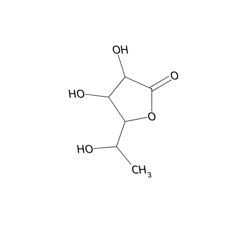 CC(O)C1OC(=O)C(O)C1O